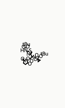 CC(C)(C)OC(=O)Nc1nc(/C(=N/OC2(C(=O)OC(C)(C)C)CC2)C(=O)ON2C(=O)CCC2=O)cs1